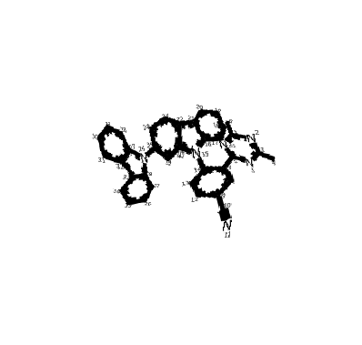 Cc1nc(C)nc(-c2cc(C#N)ccc2-n2c3ccccc3c3ccc(-n4c5ccccc5c5ccccc54)cc32)n1